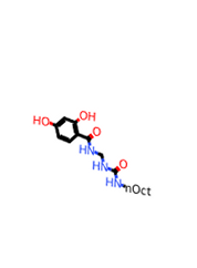 CCCCCCCCNC(=O)NCNC(=O)c1ccc(O)cc1O